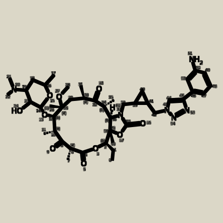 CC[C@H]1OC(=O)[C@H](C)C(=O)[C@H](C)[C@@H](O[C@@H]2OC(C)CC(N(C)C)C2O)[C@](C)(OC)C[C@@H](C)C(=O)[C@H](C)[C@H]2N(CC3CC3Cn3cc(-c4cccc(N)c4)nn3)C(=O)O[C@]12C